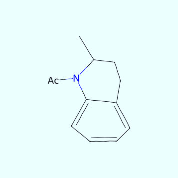 CC(=O)N1c2ccccc2CCC1C